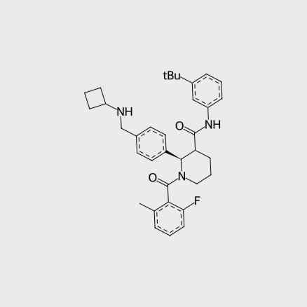 Cc1cccc(F)c1C(=O)N1CCCC(C(=O)Nc2cccc(C(C)(C)C)c2)[C@@H]1c1ccc(CNC2CCC2)cc1